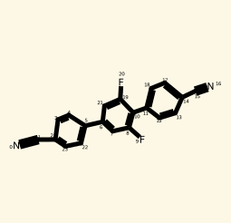 N#Cc1ccc(-c2cc(F)c(-c3ccc(C#N)cc3)c(F)c2)cc1